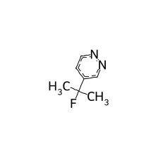 CC(C)(F)c1ccnnc1